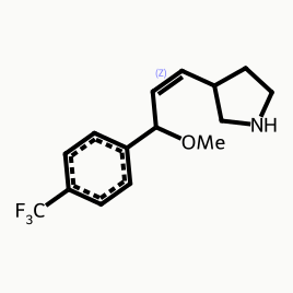 COC(/C=C\C1CCNC1)c1ccc(C(F)(F)F)cc1